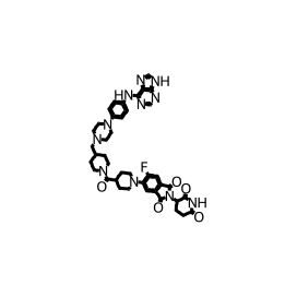 O=C1CCC(N2C(=O)c3cc(F)c(N4CCC(C(=O)N5CCC(CN6CCN(c7ccc(Nc8ncnc9[nH]cnc89)cc7)CC6)CC5)CC4)cc3C2=O)C(=O)N1